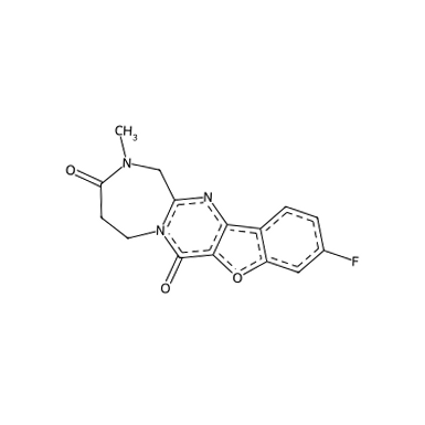 CN1Cc2nc3c(oc4cc(F)ccc43)c(=O)n2CCC1=O